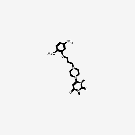 COc1ccc([N+](=O)[O-])cc1OCCCN1CCN(c2cc(=O)n(C)c(=O)n2C)CC1